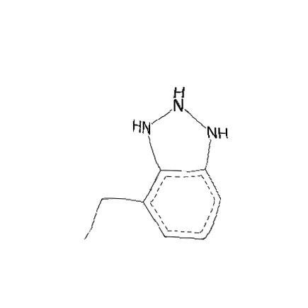 CCc1cccc2c1NNN2